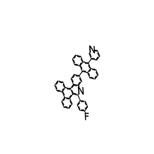 Fc1ccc(-c2nc3cc(-c4c5ccccc5c(-c5cccnc5)c5ccccc45)ccc3c3c4ccccc4c4ccccc4c23)cc1